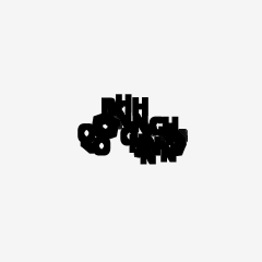 C[C@H](NC(=O)Nc1cc2c(cc1Br)OCCO2)c1ncnn1-c1ncccn1